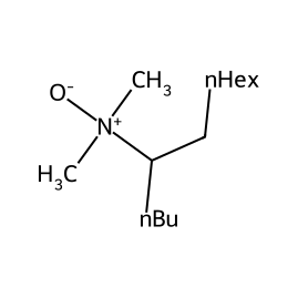 CCCCCCCC(CCCC)[N+](C)(C)[O-]